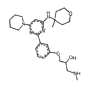 CNCC(O)COc1cccc(-c2nc(NC3(C)CCOCC3)cc(N3CCCCC3)n2)c1